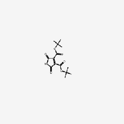 CC(C)(C)OC(=O)C1=C(C(=O)OC(C)(C)C)C(=O)NC1=O